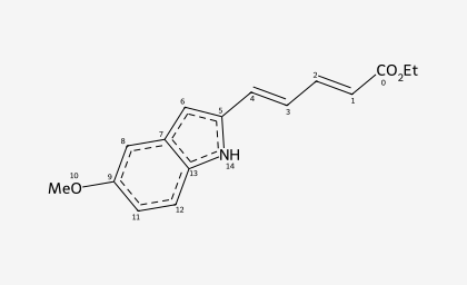 CCOC(=O)/C=C/C=C/c1cc2cc(OC)ccc2[nH]1